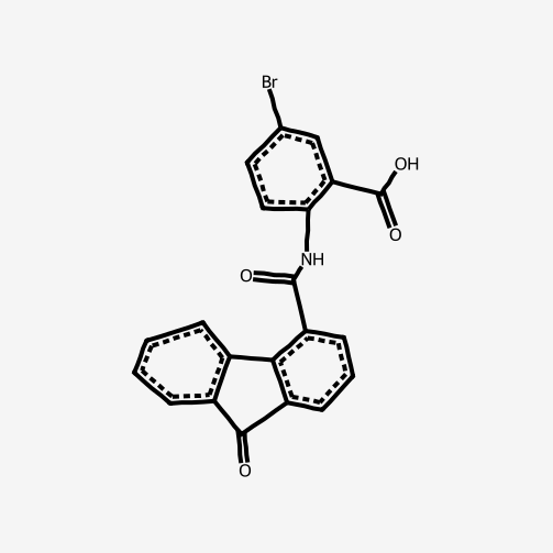 O=C(O)c1cc(Br)ccc1NC(=O)c1cccc2c1-c1ccccc1C2=O